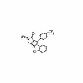 CC(C)N1Cn2nc(-c3ccccc3Cl)c(-c3ccc(C(F)(F)F)cc3)c2C1=O